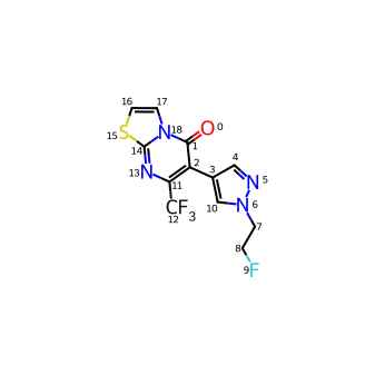 O=c1c(-c2cnn(CCF)c2)c(C(F)(F)F)nc2sccn12